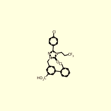 O=C(O)c1cc(Cn2nc(-c3ccc(Cl)cc3)n(CCC(F)(F)F)c2=O)cc(-c2ccccc2Cl)c1